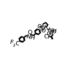 C=C(Cl)CS(=O)(=O)NC[C@@H]1CCCN1S(=O)(=O)c1ccc(CC(=O)NCc2ccc(C(F)(F)F)cc2)cc1